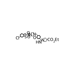 CCOC(=O)C1CCN(C(=N)c2ccc(CN3CCN(S(=O)(=O)c4cc5ccc(Cl)cc5s4)CC3=O)cc2)CC1